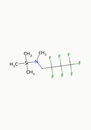 CN(CC(F)(F)C(F)(F)C(F)(F)F)[Si](C)(C)C